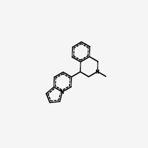 CN1Cc2ccccc2C(c2ccc3cccn3c2)C1